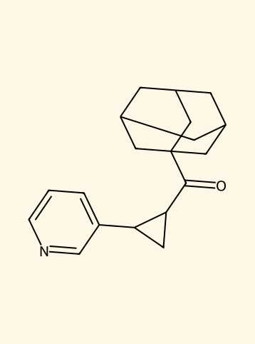 O=C(C1CC1c1cccnc1)C12CC3CC(CC(C3)C1)C2